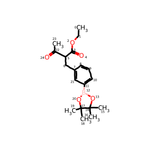 CCOC(=O)C(Cc1cccc(B2OC(C)(C)C(C)(C)O2)c1)C(C)=O